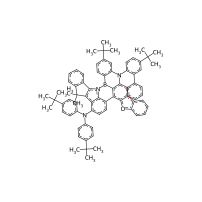 CC(C)(C)c1ccc(N(c2ccc(C(C)(C)C)cc2)c2ccc3c4c2c2c(n4B4c5ccc(C(C)(C)C)cc5N(c5ccc(C(C)(C)C)cc5-c5ccccc5)c5cc6c(oc7ccccc76)c-3c54)-c3ccccc3C2(C)C)cc1